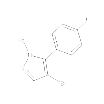 CCn1ncc(Br)c1-c1ccc(F)cc1